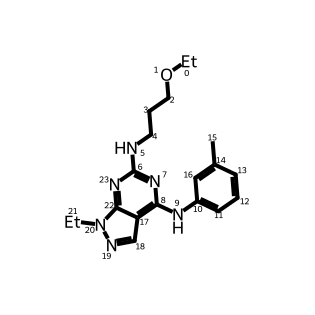 CCOCCCNc1nc(Nc2cccc(C)c2)c2cnn(CC)c2n1